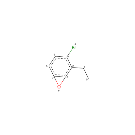 CCc1c(Br)ccc2c1O2